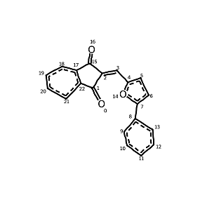 O=C1C(=Cc2ccc(-c3ccccc3)o2)C(=O)c2ccccc21